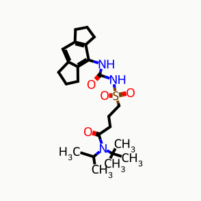 CC(C)N(C(=O)CCCS(=O)(=O)NC(=O)Nc1c2c(cc3c1CCC3)CCC2)C(C)(C)C